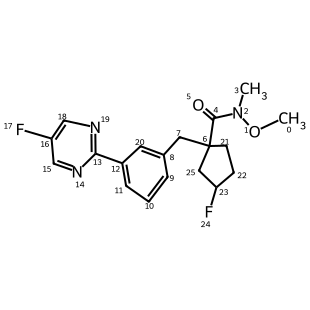 CON(C)C(=O)C1(Cc2cccc(-c3ncc(F)cn3)c2)CCC(F)C1